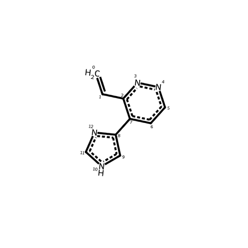 C=Cc1nnccc1-c1c[nH]cn1